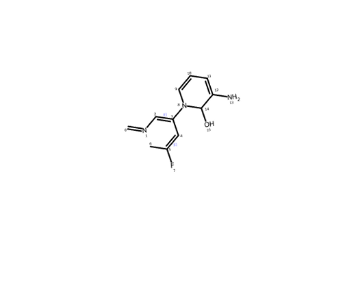 C=N/C=C(\C=C(/C)F)N1C=CC=C(N)C1O